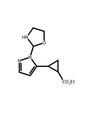 CCOC(=O)C1CC1c1ccnn1C1NCCO1